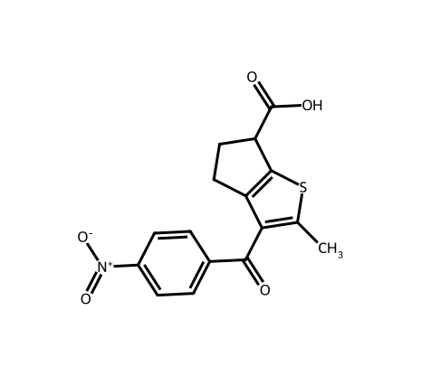 Cc1sc2c(c1C(=O)c1ccc([N+](=O)[O-])cc1)CCC2C(=O)O